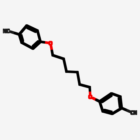 N#Cc1ccc(OCCCCCCOc2ccc(C#N)cc2)cc1